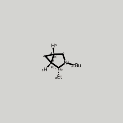 CC[C@@H]1[C@@H]2C[C@@H]2CN1C(C)(C)C